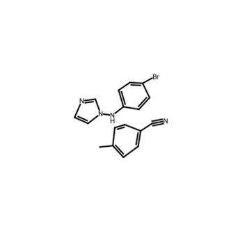 Brc1ccc(Nn2ccnc2)cc1.Cc1ccc(C#N)cc1